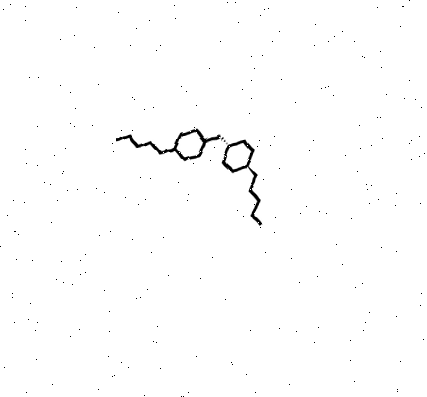 CCCCCC1CCC(C[C@H]2CC[C@H](CCCCC)CC2)CC1